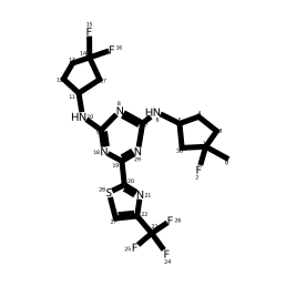 CC1(F)CCC(Nc2nc(NC3CCC(F)(F)C3)nc(-c3nc(C(F)(F)F)cs3)n2)C1